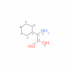 NC(C(O)O)C1CCCCC1